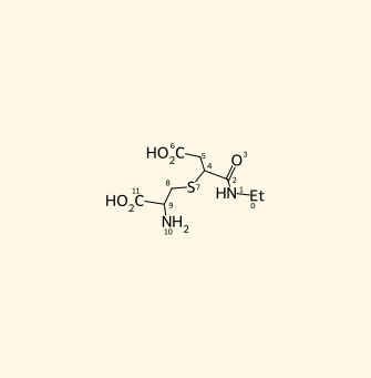 CCNC(=O)C(CC(=O)O)SCC(N)C(=O)O